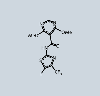 COc1ncnc(OC)c1C(=O)Nc1nc(C(F)(F)F)c(I)s1